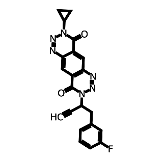 C#CC(Cc1cccc(F)c1)n1nnc2cc3c(=O)n(C4CC4)nnc3cc2c1=O